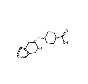 O=C(O)N1CCN(C[C@H]2Cc3ccccc3CN2)CC1